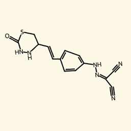 N#CC(C#N)=NNc1ccc(C=CC2CSC(=O)NN2)cc1